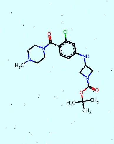 CN1CCN(C(=O)c2ccc(NC3CN(C(=O)OC(C)(C)C)C3)cc2Cl)CC1